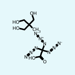 CC(CO)(CO)CO.[N-]=[N+]=NC(N=[N+]=[N-])(N=[N+]=[N-])C(=O)O